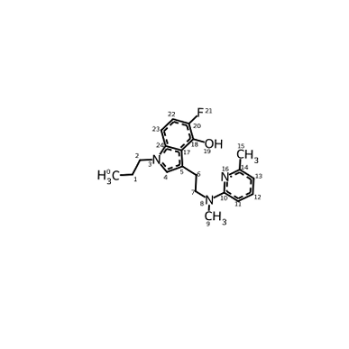 CCCn1cc(CCN(C)c2cccc(C)n2)c2c(O)c(F)ccc21